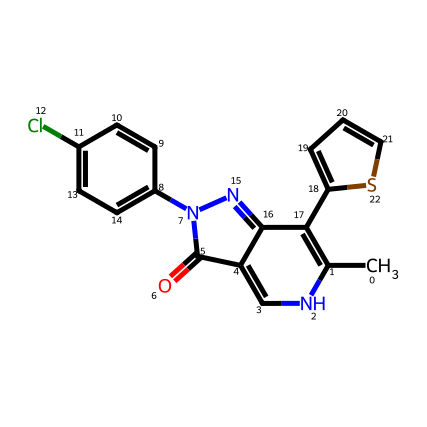 Cc1[nH]cc2c(=O)n(-c3ccc(Cl)cc3)nc-2c1-c1cccs1